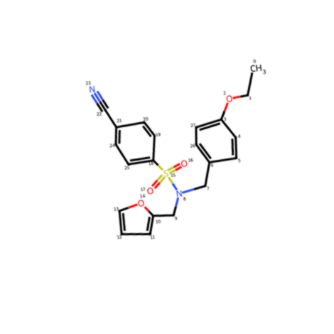 CCOc1ccc(CN(Cc2ccco2)S(=O)(=O)c2ccc(C#N)cc2)cc1